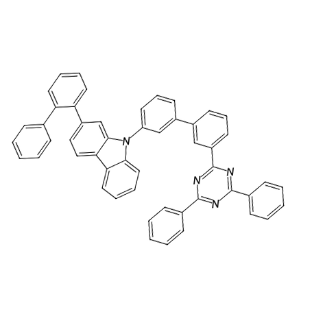 c1ccc(-c2nc(-c3ccccc3)nc(-c3cccc(-c4cccc(-n5c6ccccc6c6ccc(-c7ccccc7-c7ccccc7)cc65)c4)c3)n2)cc1